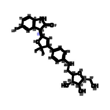 CC1(C)O/C(=C2/C(=O)Nc3ccc(F)cc32)C=C1c1ccc(NCC2O[C@H](CO)[C@@H](O)[C@@H]2O)nc1